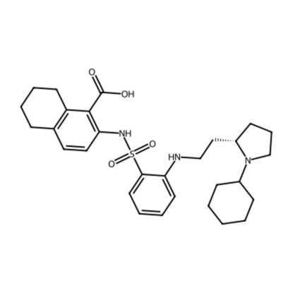 O=C(O)c1c(NS(=O)(=O)c2ccccc2NCC[C@@H]2CCCN2C2CCCCC2)ccc2c1CCCC2